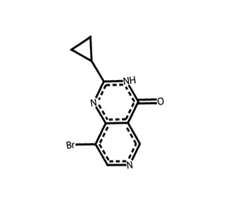 O=c1[nH]c(C2CC2)nc2c(Br)cncc12